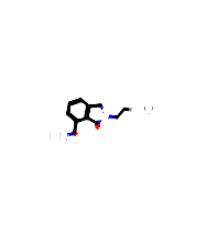 COCCN1Cc2cccc(C(N)=O)c2C1=O